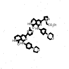 CCOC(=O)Cn1nccc1-c1cc2cc[nH]c(=O)c2c(Nc2ccc(N3CCOCC3)cc2)n1.Cc1nccc(-c2cc3cc[nH]c(=O)c3c(Nc3ccc(N4CCOCC4)cc3)n2)n1